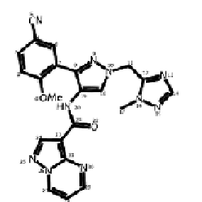 COc1ccc(C#N)cc1-c1nn(Cc2ncnn2C)cc1NC(=O)c1cnn2cccnc12